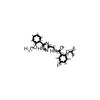 COc1ccccc1-c1nc(CNC(=O)c2cc(F)ccc2OC(F)F)n[nH]1